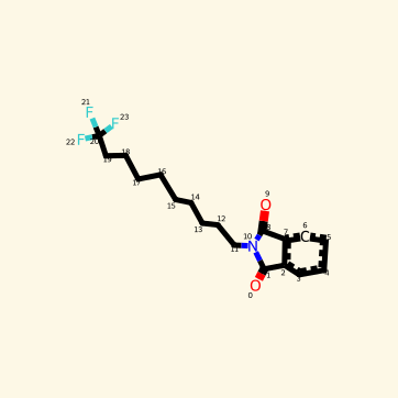 O=C1c2ccccc2C(=O)N1CCCCCCCCCC(F)(F)F